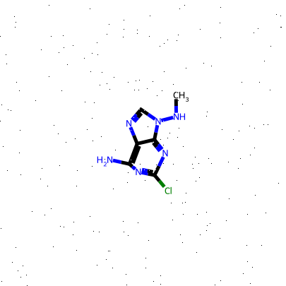 CNn1cnc2c(N)nc(Cl)nc21